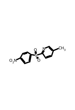 Cc1ccc(S(=O)(=O)c2ccc([N+](=O)[O-])cc2)nc1